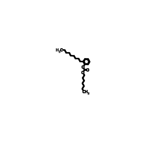 CCCCCCCCCc1ccccc1OC(=O)OCCCCCCC